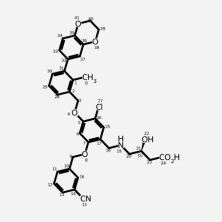 Cc1c(COc2cc(OCc3cccc(C#N)c3)c(CNC[C@@H](O)CC(=O)O)cc2Cl)cccc1-c1ccc2c(c1)OCCO2